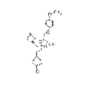 COc1ccc(OCC2COC(CCc3ccc(Cl)cc3)(Cn3ccnc3)O2)cc1.Cl